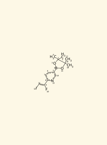 CC1(C)OB(c2ccc(C(F)=CI)nc2)OC1(C)C